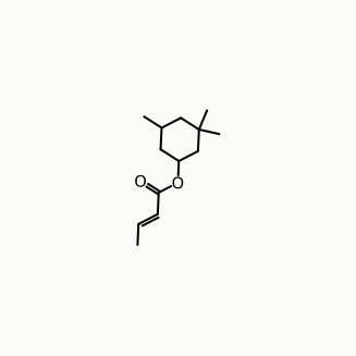 C/C=C/C(=O)OC1CC(C)CC(C)(C)C1